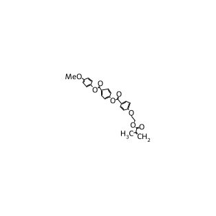 C=C(C)C(=O)OCCOc1ccc(C(=O)Oc2ccc(C(=O)Oc3ccc(OC)cc3)cc2)cc1